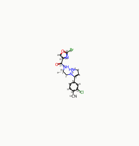 C[C@@H](CN1NCC=C1c1ccc(C#N)c(Cl)c1)NC(=O)c1coc(Br)n1